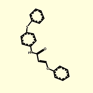 O=C(C=COc1ccccc1)Nc1ccc(Sc2ccccc2)cc1